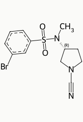 CN([C@@H]1CCN(C#N)C1)S(=O)(=O)c1cccc(Br)c1